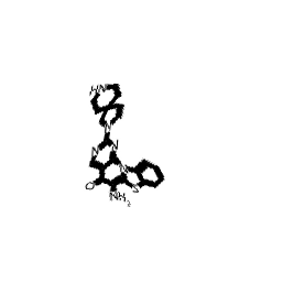 Nc1c(=O)c2cnc(N3CCC4(CCNCC4)C3)nc2n2c1sc1ccccc12